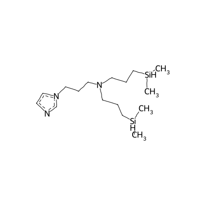 C[SiH](C)CCCN(CCCn1ccnc1)CCC[SiH](C)C